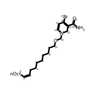 CCCCCCCC/C=C\CCCCCCCCOCN1C=CC(Br)=C(C(N)=O)C1